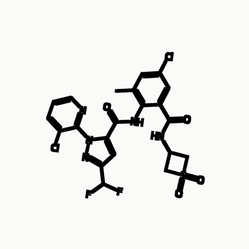 Cc1cc(Cl)cc(C(=O)NC2CS(=O)(=O)C2)c1NC(=O)c1cc(C(F)F)nn1-c1ncccc1Cl